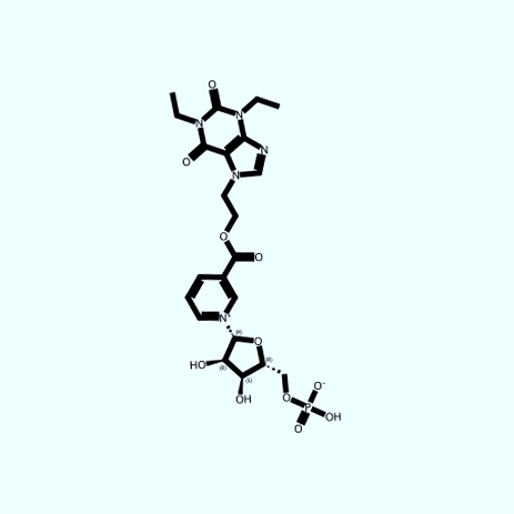 CCn1c(=O)c2c(ncn2CCOC(=O)c2ccc[n+]([C@@H]3O[C@H](COP(=O)([O-])O)[C@@H](O)[C@H]3O)c2)n(CC)c1=O